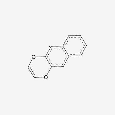 [c]1c2c(cc3ccccc13)OC=CO2